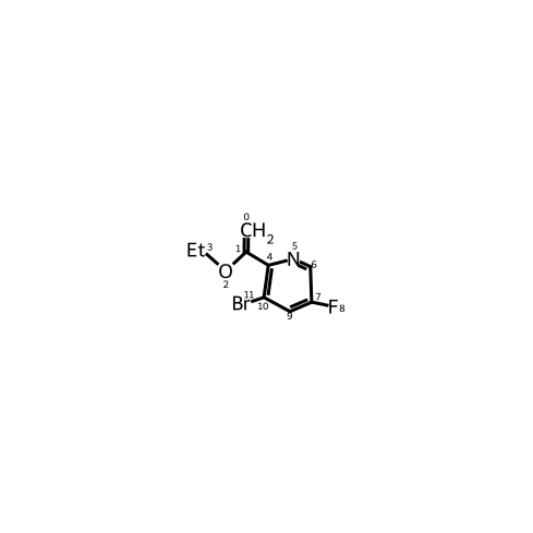 C=C(OCC)c1ncc(F)cc1Br